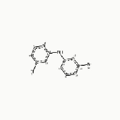 Clc1ccnc(Nc2cccc(Br)n2)c1